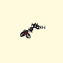 O=C(C1CCOCC1)N1C2CCC1CC(N1CC(n3cc(-c4ncnc5[nH]ccc45)cn3)C1)C2